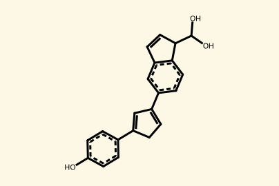 Oc1ccc(C2=CC(c3ccc4c(c3)C=CC4C(O)O)=CC2)cc1